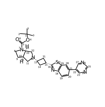 CC(C)(C)OC(=O)N1CC[C@@H]2CN([C@H]3C[C@@H](c4nc5ccc(-c6cncnc6)cc5s4)C3)C[C@@H]21